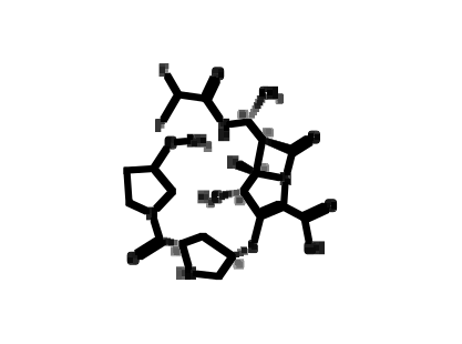 C[C@@H](NC(=O)C(F)F)[C@H]1C(=O)N2C(C(=O)O)=C(S[C@@H]3CN[C@H](C(=O)N4CCC(ON)C4)C3)[C@H](C)[C@H]12